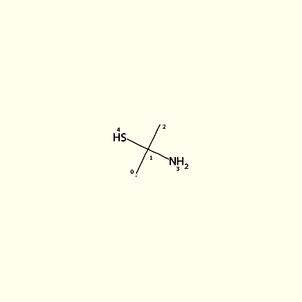 [CH2]C(C)(N)S